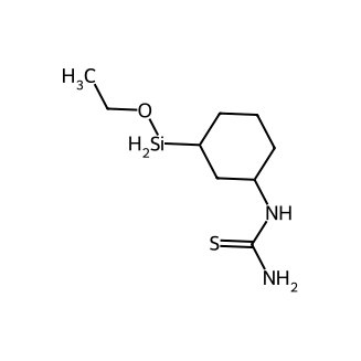 CCO[SiH2]C1CCCC(NC(N)=S)C1